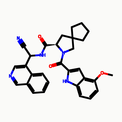 COc1cccc2[nH]c(C(=O)N3CC4(CCCC4)C[C@H]3C(=O)NC(C#N)c3cncc4ccccc34)cc12